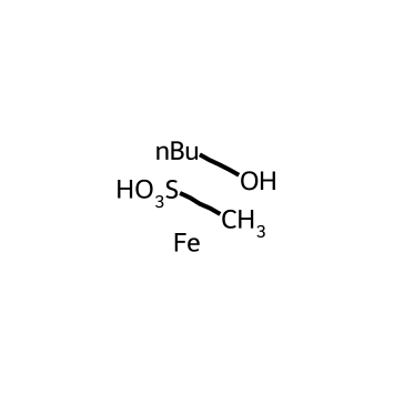 CCCCO.CS(=O)(=O)O.[Fe]